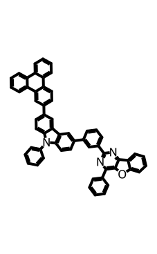 c1ccc(-c2nc(-c3cccc(-c4ccc5c(c4)c4cc(-c6ccc7c8ccccc8c8ccccc8c7c6)ccc4n5-c4ccccc4)c3)nc3c2oc2ccccc23)cc1